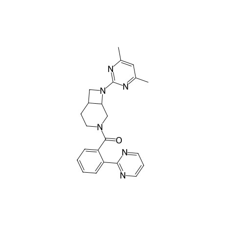 Cc1cc(C)nc(N2CC3CCN(C(=O)c4ccccc4-c4ncccn4)CC32)n1